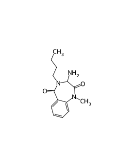 CCCCN1C(=O)c2ccccc2N(C)C(=O)C1N